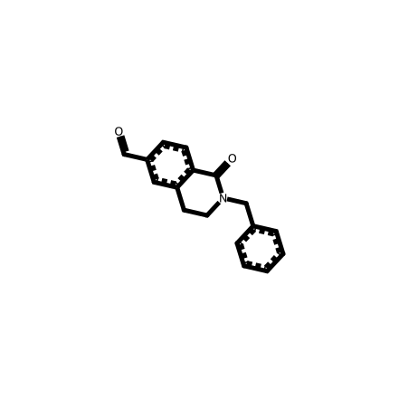 O=Cc1ccc2c(c1)CCN(Cc1ccccc1)C2=O